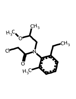 CCc1cccc(C)c1N(CC(C)OC)C(=O)CCl